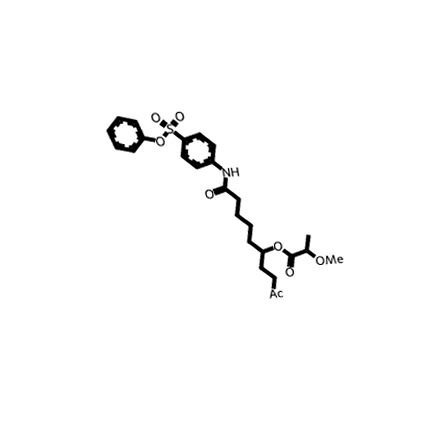 COC(C)C(=O)OC(CCCCC(=O)Nc1ccc(S(=O)(=O)Oc2ccccc2)cc1)CCC(C)=O